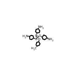 Cc1ccc(O[Si](Oc2ccc(N)cc2)(Oc2ccc(N)cc2)Oc2ccc(N)cc2)cc1